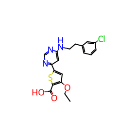 CCOc1cc(-c2cc(NCCc3cccc(Cl)c3)ncn2)sc1C(=O)O